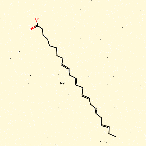 CCC=CCC=CCC=CCC=CCC=CCCCCCCCC(=O)[O-].[Na+]